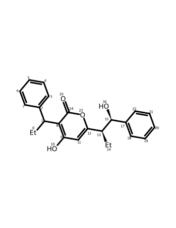 CCC(c1ccccc1)c1c(O)cc([C@H](CC)[C@@H](O)c2ccccc2)oc1=O